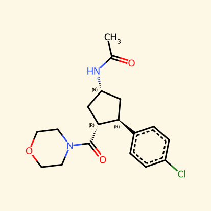 CC(=O)N[C@H]1C[C@@H](C(=O)N2CCOCC2)[C@H](c2ccc(Cl)cc2)C1